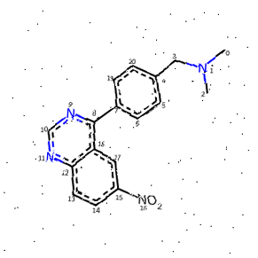 CN(C)Cc1ccc(-c2ncnc3ccc([N+](=O)[O-])cc23)cc1